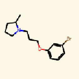 CC1CCCN1CCCOc1cccc(Br)c1